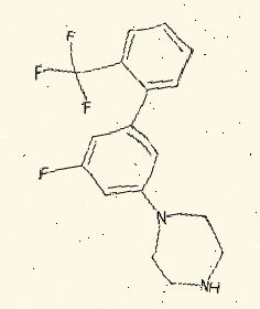 Fc1cc(-c2ccccc2C(F)(F)F)cc(N2CCNCC2)c1